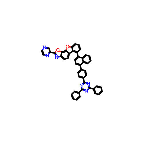 c1ccc(-c2nc(-c3ccccc3)nc(-c3ccc(-c4ccc(-c5cccc6oc7c(ccc8nc(-c9cnccn9)oc87)c56)c5ccccc45)cc3)n2)cc1